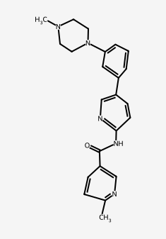 Cc1ccc(C(=O)Nc2ccc(-c3cccc(N4CCN(C)CC4)c3)cn2)cn1